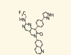 O=c1c(-c2ccc(-c3cc[nH]n3)cc2)c2nc(NCC(F)(F)F)ncc2cn1-c1ccc2ncccc2c1